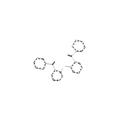 O=C(c1ccccc1)c1ccccc1Sc1ccccc1C(=O)c1ccccc1